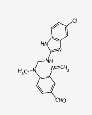 C=Nc1cc(C=O)ccc1N(C)CNc1nc2cc(Cl)ccc2[nH]1